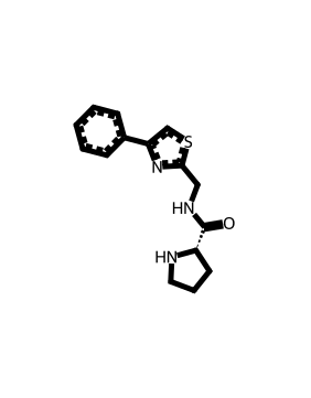 O=C(NCc1nc(-c2ccccc2)cs1)[C@@H]1CCCN1